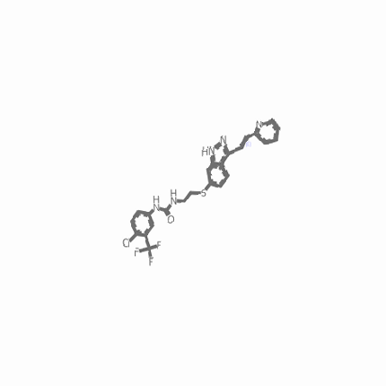 O=C(NCCSc1ccc2c(/C=C/c3ccccn3)n[nH]c2c1)Nc1ccc(Cl)c(C(F)(F)F)c1